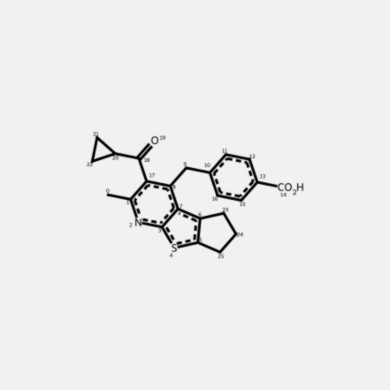 Cc1nc2sc3c(c2c(Cc2ccc(C(=O)O)cc2)c1C(=O)C1CC1)CCC3